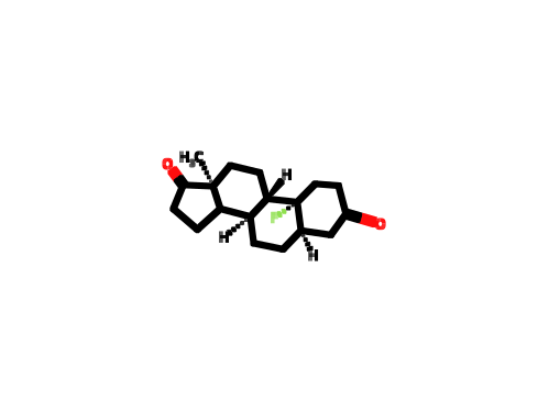 C[C@]12CC[C@H]3[C@@H](CC[C@@H]4CC(=O)CC[C@@]43F)C1CCC2=O